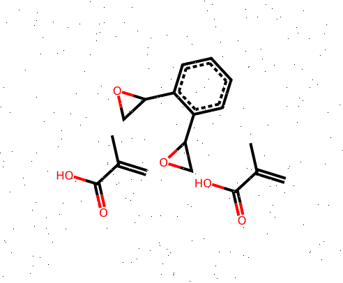 C=C(C)C(=O)O.C=C(C)C(=O)O.c1ccc(C2CO2)c(C2CO2)c1